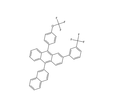 FC(F)(F)Oc1ccc(-c2c3ccccc3c(-c3ccc4ccccc4c3)c3ccc(-c4cccc(C(F)(F)F)c4)cc23)cc1